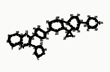 c1ccc(-c2nc3ccccc3nc2-c2ccc(-c3ccc4c(c3)C3(CC3)c3cc(-c5ccncc5)ccc3-4)cc2)cc1